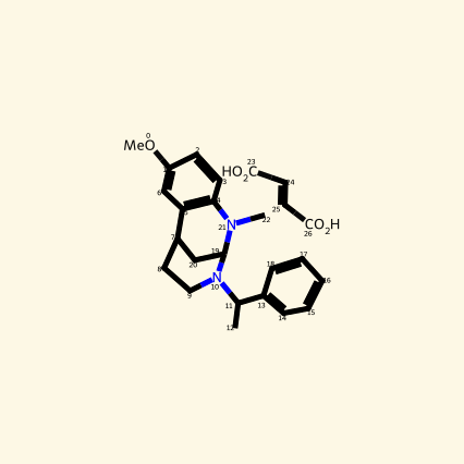 COc1ccc2c(c1)C1CCN(C(C)c3ccccc3)C(C1)N2C.O=C(O)/C=C/C(=O)O